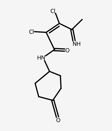 CC(=N)/C(Cl)=C(/Cl)C(=O)NC1CCC(=O)CC1